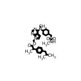 CNS(=O)(=O)CC1CCC(N(C)c2ncnc3c2ccn3COC(=O)C(C)c2ccc(CC(C)C)cc2)CC1